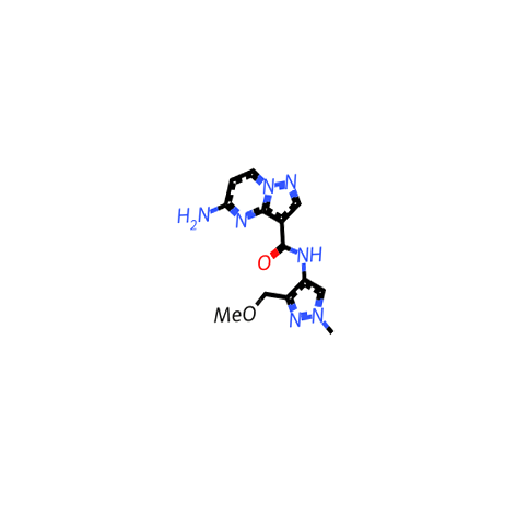 COCc1nn(C)cc1NC(=O)c1cnn2ccc(N)nc12